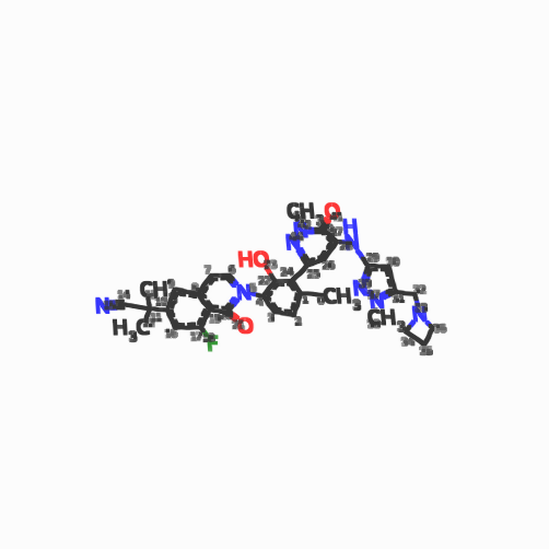 Cc1ccc(-n2ccc3cc(C(C)(C)C#N)cc(F)c3c2=O)c(O)c1-c1cc(Nc2cc(CN3CCC3)n(C)n2)c(=O)n(C)n1